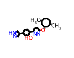 C[C@@H]1CCC[C@H](C)C[C@H](Oc2ccc(-c3ccc(-c4cn[nH]c4)cc3O)nn2)C1